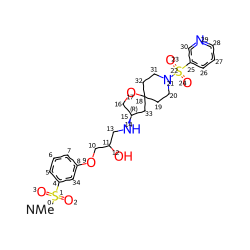 CNS(=O)(=O)c1cccc(OCC(O)CN[C@H]2COC3(CCN(S(=O)(=O)c4cccnc4)CC3)C2)c1